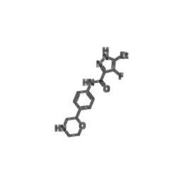 CCc1[nH]nc(C(=O)Nc2ccc(C3CNCCO3)cc2)c1F